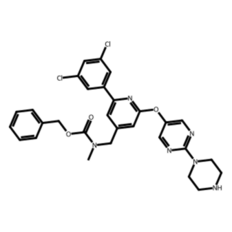 CN(Cc1cc(Oc2cnc(N3CCNCC3)nc2)nc(-c2cc(Cl)cc(Cl)c2)c1)C(=O)OCc1ccccc1